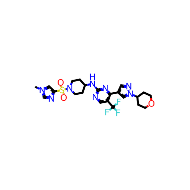 Cn1cnc(S(=O)(=O)N2CCC(Nc3ncc(C(F)(F)F)c(-c4cnn(C5CCOCC5)c4)n3)CC2)c1